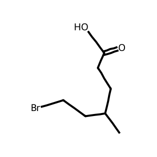 CC(CCBr)CCC(=O)O